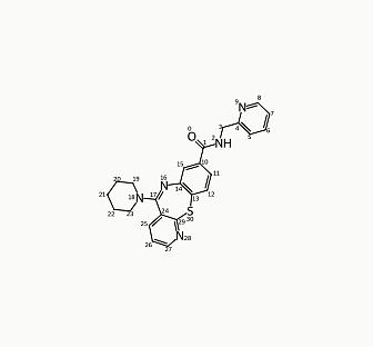 O=C(NCc1ccccn1)c1ccc2c(c1)N=C(N1CCCCC1)c1cccnc1S2